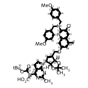 COc1ccc(CN(Cc2ccc(OC)cc2)c2nc3cc(OCC4=C[C@@H](n5ccc6c(N(C(=O)O)C(=O)OC(C)(C)C)nc(C)nc65)[C@@H]5OC(C)(C)O[C@H]45)cc(F)c3cc2Cl)cc1